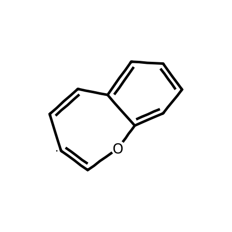 [C]1=COc2ccccc2C=C1